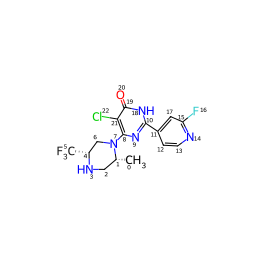 C[C@@H]1CN[C@H](C(F)(F)F)CN1c1nc(-c2ccnc(F)c2)[nH]c(=O)c1Cl